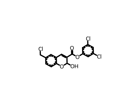 O=C(Oc1cc(Cl)cc(Cl)c1)C1=Cc2cc(CCl)ccc2OC1O